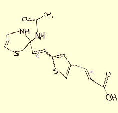 CC(=O)NC1(/C=C/c2cc(/C=C/C(=O)O)cs2)NC=CS1